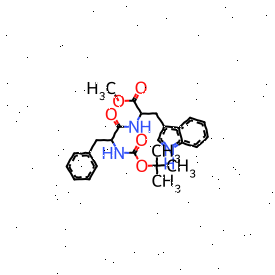 COC(=O)C(Cc1c[nH]c2ccccc12)NC(=O)C(Cc1ccccc1)NC(=O)OC(C)(C)C